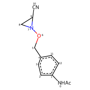 CC(=O)Nc1ccc(CON2CC2C#N)cc1